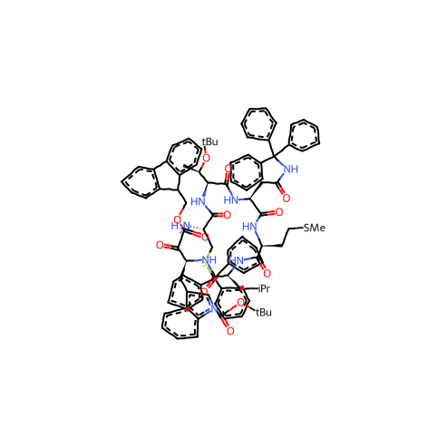 CSCC[C@H](NC(=O)[C@H](CC(=O)NC(c1ccccc1)(c1ccccc1)c1ccccc1)NC(=O)[C@@H](NC(=O)[C@@H](N)CSC(c1ccccc1)(c1ccccc1)c1ccccc1)[C@@H](C)OC(C)(C)C)C(=O)N[C@@H](CC(C)C)C(=O)N[C@@H](Cc1cn(C(=O)OC(C)(C)C)c2ccccc12)C(=O)C(=O)OCC1c2ccccc2-c2ccccc21